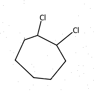 ClC1[CH]CCCCC1Cl